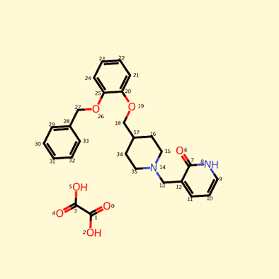 O=C(O)C(=O)O.O=c1[nH]cccc1CN1CCC(COc2ccccc2OCc2ccccc2)CC1